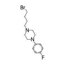 Fc1ccc(N2CCN(CCCCBr)CC2)cc1